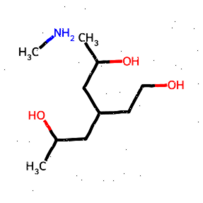 CC(O)CC(CCO)CC(C)O.CN